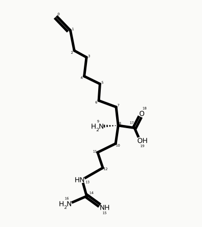 C=CCCCCCC[C@](N)(CCCNC(=N)N)C(=O)O